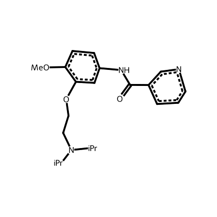 COc1ccc(NC(=O)c2cccnc2)cc1OCCN(C(C)C)C(C)C